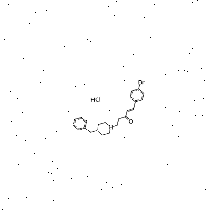 Cl.O=C(C=Cc1ccc(Br)cc1)CCN1CCC(Cc2ccccc2)CC1